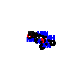 CC(C)c1cc(Nc2nc(N3CCC[C@H]3C(=O)N3CC(NC(=O)OC(C)(C)C)C3)nc3c2CCC3)n[nH]1